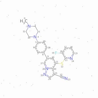 CN1CCN(c2ccc(-c3cc(Sc4ncccc4F)c4c(C#N)cnn4c3)cc2)CC1